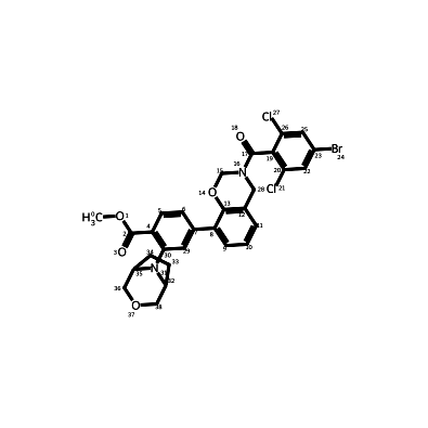 COC(=O)c1ccc(-c2cccc3c2OCN(C(=O)c2c(Cl)cc(Br)cc2Cl)C3)cc1N1C2CCC1COC2